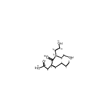 CCCCC(CC(=O)O)C(=O)N(CCO)CCO